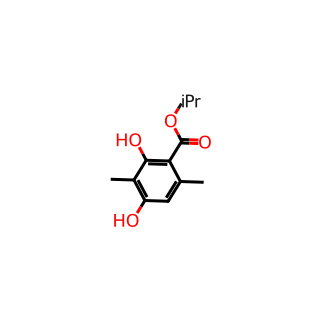 Cc1cc(O)c(C)c(O)c1C(=O)OC(C)C